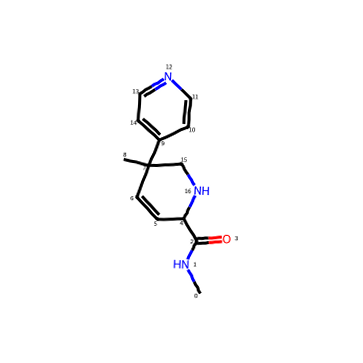 CNC(=O)C1C=CC(C)(c2ccncc2)CN1